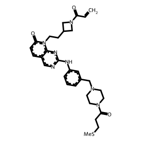 C=CC(=O)N1CC(CCn2c(=O)ccc3cnc(Nc4cccc(CN5CCN(C(=O)CCSC)CC5)c4)nc32)C1